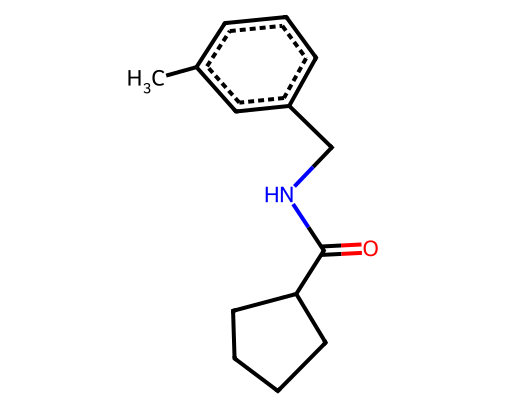 Cc1cccc(CNC(=O)C2CCCC2)c1